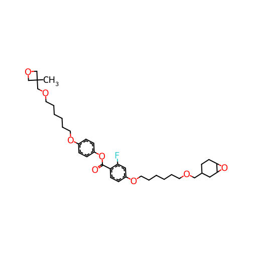 CC1(COCCCCCCOc2ccc(OC(=O)c3ccc(OCCCCCCOCC4CCC5OC5C4)cc3F)cc2)COC1